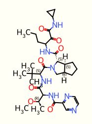 CCCC(NC(=O)[C@@H]1[C@H]2CCC[C@H]2CN1C(=O)[C@@H](NC(=O)C(NC(=O)c1cnccn1)[C@@H](C)OC)C(C)(C)C)C(=O)C(=O)NC1CC1